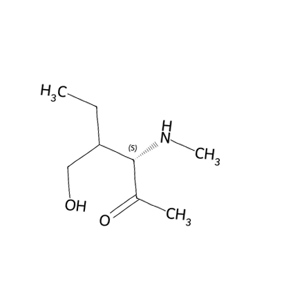 CCC(CO)[C@H](NC)C(C)=O